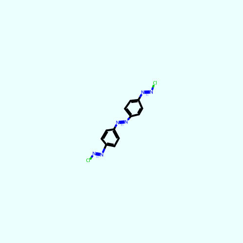 Cl/N=N/c1ccc(/N=N/c2ccc(/N=N/Cl)cc2)cc1